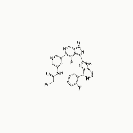 CC(C)CC(=O)Nc1cncc(-c2ncc3[nH]nc(-c4nc5c(-c6ccccc6F)nccc5[nH]4)c3c2F)c1